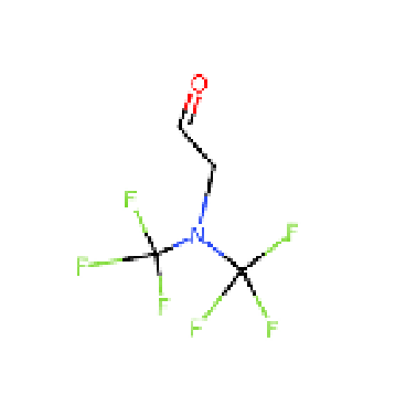 O=CCN(C(F)(F)F)C(F)(F)F